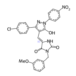 COc1cccc(CN2C(=O)N/C(=C\c3c(-c4ccc(Cl)cc4)nn(-c4ccc([N+](=O)[O-])cc4)c3O)C2=O)c1